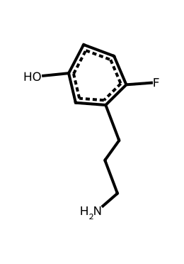 NCCCc1cc(O)ccc1F